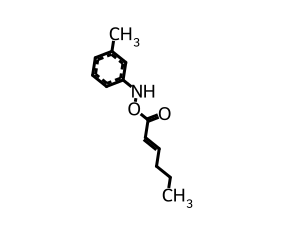 CCC/C=C/C(=O)ONc1cccc(C)c1